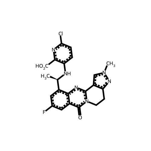 C[C@@H](Nc1ccc(Cl)nc1C(=O)O)c1cc(F)cc2c(=O)n3c(nc12)-c1cn(C)nc1CC3